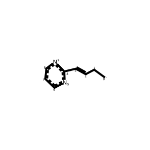 [CH2]CC=Cc1ncccn1